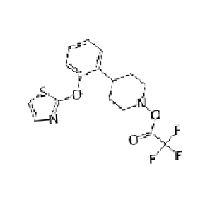 O=C(ON1CCC(c2ccccc2Oc2nccs2)CC1)C(F)(F)F